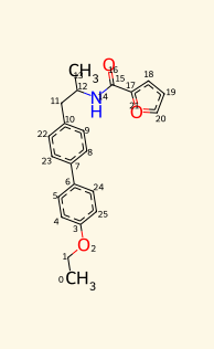 CCOc1ccc(-c2ccc(CC(C)NC(=O)c3ccco3)cc2)cc1